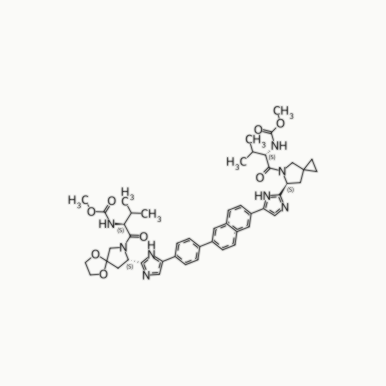 COC(=O)N[C@H](C(=O)N1CC2(CC2)C[C@H]1c1ncc(-c2ccc3cc(-c4ccc(-c5cnc([C@@H]6CC7(CN6C(=O)[C@@H](NC(=O)OC)C(C)C)OCCO7)[nH]5)cc4)ccc3c2)[nH]1)C(C)C